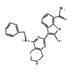 Cc1[nH]c2c(C(N)=O)cccc2c1-c1nc2c(c(NCc3ccccc3)n1)CCNC2